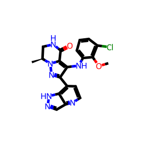 COc1c(Cl)cccc1Nc1c(-c2ccnc3cn[nH]c23)nn2c1C(=O)NC[C@@H]2C